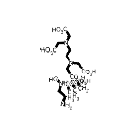 CC(=O)O.CC(=O)O.CC(=O)O.NCCNO.O=C(O)CN(CCN(CC(=O)O)CC(=O)O)CC(=O)O